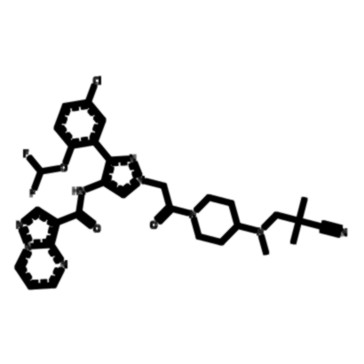 CN(CC(C)(C)C#N)C1CCN(C(=O)Cn2cc(NC(=O)c3cnn4cccnc34)c(-c3cc(Cl)ccc3OC(F)F)n2)CC1